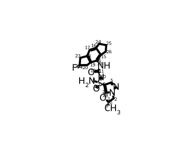 C[C@H]1Cn2ncc(S(N)(=O)=NC(=O)Nc3c4c(cc5c3C[C@H](F)C5)CCC4)c2O1